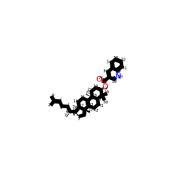 CC(C)=CCC[C@@H](C)[C@H]1CC[C@@]2(C)C3=C(CC[C@]12C)[C@@]1(C)CC[C@H](OC(=O)c2cnc4ccccc4c2)C(C)(C)C1CC3